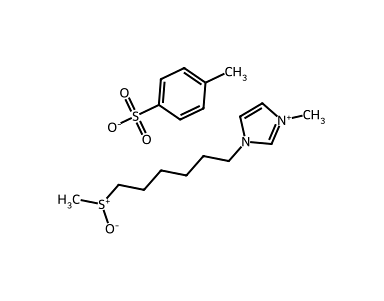 C[n+]1ccn(CCCCCC[S+](C)[O-])c1.Cc1ccc(S(=O)(=O)[O-])cc1